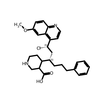 COc1ccc2nccc([C@@H](Cl)C[C@H](CCCc3ccccc3)C3CCNCC3C(=O)O)c2c1